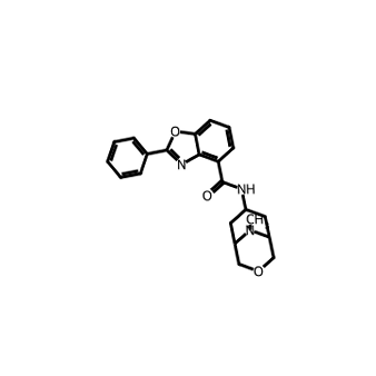 CN1C2COCC1CC(NC(=O)c1cccc3oc(-c4ccccc4)nc13)C2